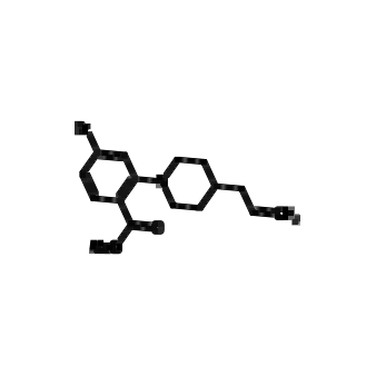 C=CCC1CCN(c2cc(Br)ccc2C(=O)OC)CC1